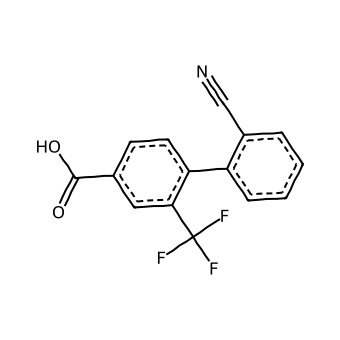 N#Cc1ccccc1-c1ccc(C(=O)O)cc1C(F)(F)F